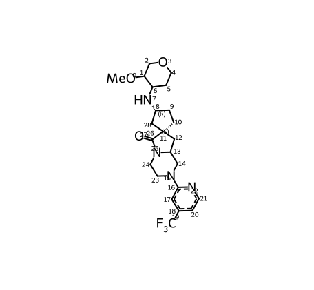 COC1COCCC1N[C@@H]1CC[C@@]2(CC3CN(c4cc(C(F)(F)F)ccn4)CCN3C2=O)C1